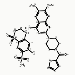 COc1cc2nc(N3CCN(C(=O)c4ccco4)CC3)nc(N)c2cc1OC.NS(=O)(=O)c1cc2c(cc1Cl)NCNS2(=O)=O